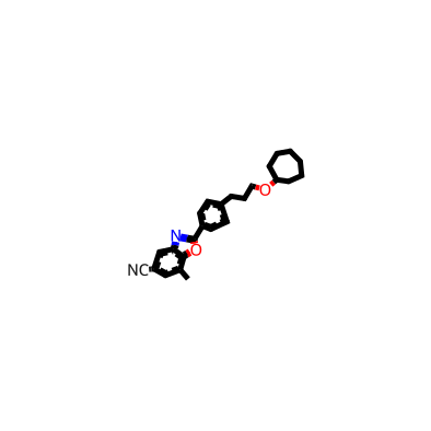 Cc1cc(C#N)cc2nc(-c3ccc(CCCOC4CCCCCC4)cc3)oc12